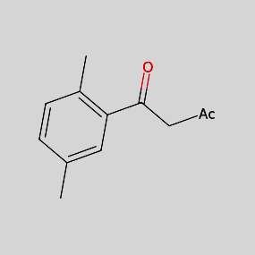 CC(=O)CC(=O)c1cc(C)ccc1C